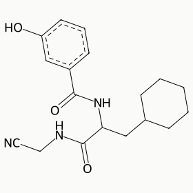 N#CCNC(=O)C(CC1CCCCC1)NC(=O)c1cccc(O)c1